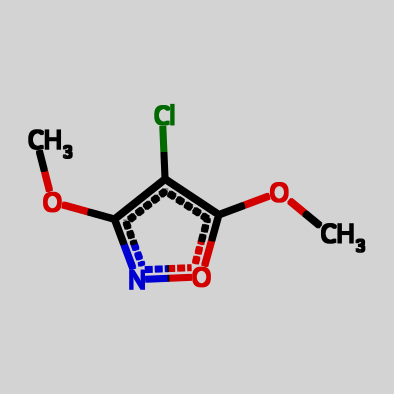 COc1noc(OC)c1Cl